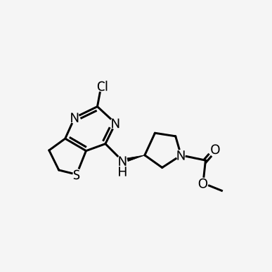 COC(=O)N1CC[C@H](Nc2nc(Cl)nc3c2SCC3)C1